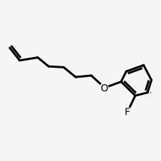 C=CCCCCCOc1ccc[c]c1F